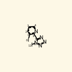 Ic1cccnc1-c1nnnn1I